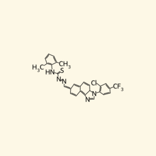 Cc1cccc(C)c1NC(=S)N=NC=c1ccc2c(c1)C=CC1C=2N=CN1c1ccc(C(F)(F)F)cc1Cl